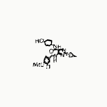 COc1ccc(CNc2nc(N3CC4CC4C3)ncc2C(=O)N[C@H]2CC[C@H](O)CC2)cc1Cl